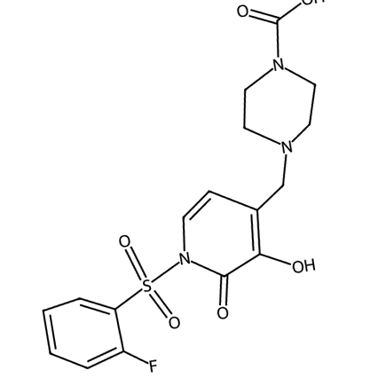 O=C(O)N1CCN(Cc2ccn(S(=O)(=O)c3ccccc3F)c(=O)c2O)CC1